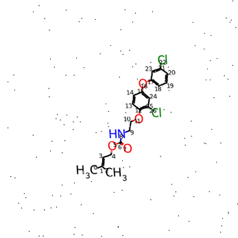 CC(C)=CCOC(=O)NCCOc1ccc(Oc2cccc(Cl)c2)cc1Cl